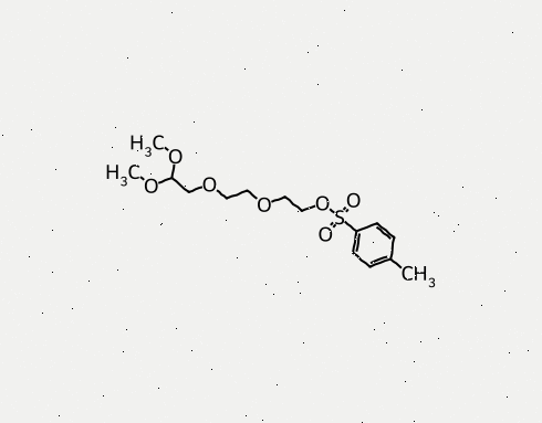 COC(COCCOCCOS(=O)(=O)c1ccc(C)cc1)OC